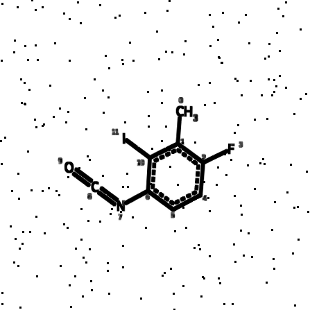 Cc1c(F)ccc(N=C=O)c1I